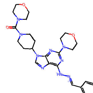 Cc1cccc(/C=N/Nc2nc(N3CCOCC3)nc3c2ncn3C2CCN(C(=O)N3CCOCC3)CC2)c1